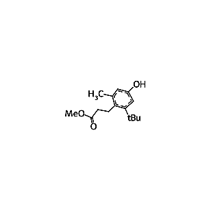 COC(=O)CCc1c(C)cc(O)cc1C(C)(C)C